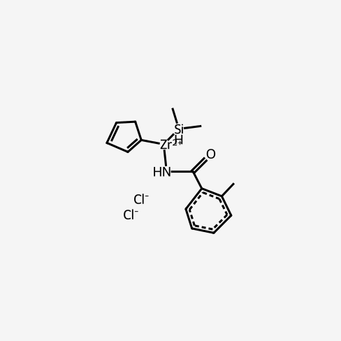 Cc1ccccc1C(=O)[NH][Zr+2]([C]1=CC=CC1)[SiH](C)C.[Cl-].[Cl-]